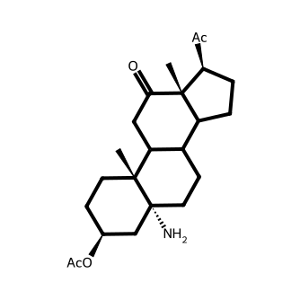 CC(=O)O[C@H]1CC[C@]2(C)C3CC(=O)[C@@]4(C)C(CC[C@@H]4C(C)=O)C3CC[C@@]2(N)C1